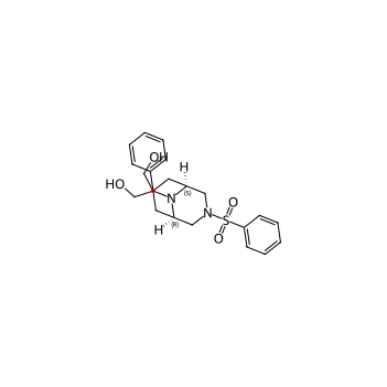 O=S(=O)(c1ccccc1)N1C[C@@H]2CC(CO)(CO)C[C@H](C1)N2Cc1ccccc1